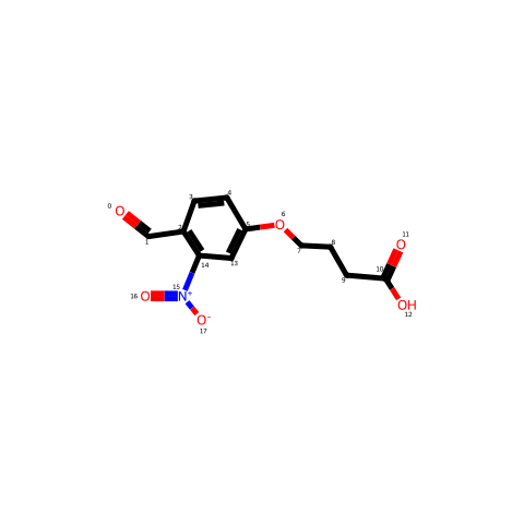 O=Cc1ccc(OCCCC(=O)O)cc1[N+](=O)[O-]